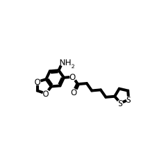 Nc1cc2c(cc1OC(=O)CCCCC1CCSS1)OCO2